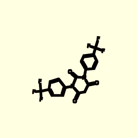 O=C1CC(=O)N(c2ccc(C(F)(F)F)cc2)C(=O)N1c1ccc(C(F)(F)F)cc1